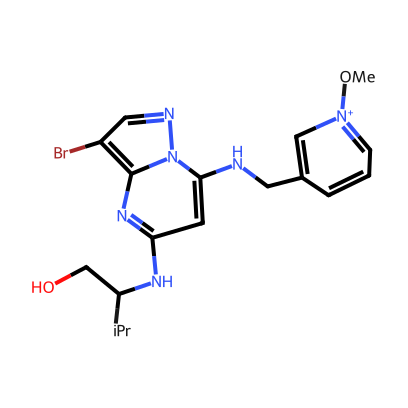 CO[n+]1cccc(CNc2cc(NC(CO)C(C)C)nc3c(Br)cnn23)c1